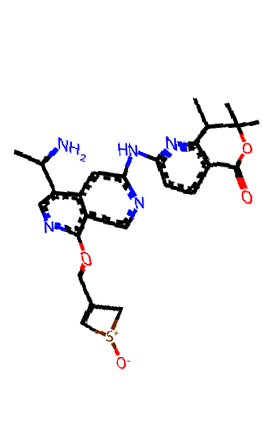 CC(N)c1cnc(OCC2C[S+]([O-])C2)c2cnc(Nc3ccc4c(n3)C(C)C(C)(C)OC4=O)cc12